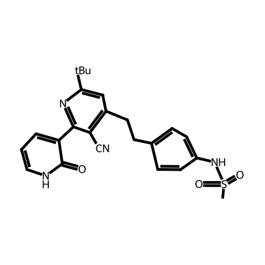 CC(C)(C)c1cc(CCc2ccc(NS(C)(=O)=O)cc2)c(C#N)c(-c2ccc[nH]c2=O)n1